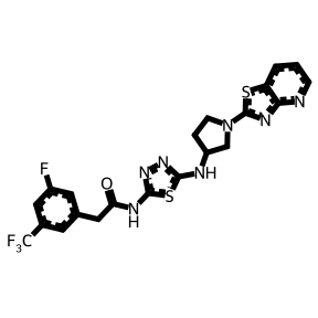 O=C(Cc1cc(F)cc(C(F)(F)F)c1)Nc1nnc(NC2CCN(c3nc4ncccc4s3)C2)s1